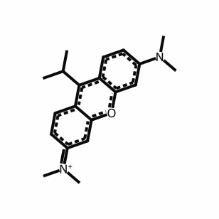 CC(C)c1c2ccc(=[N+](C)C)cc-2oc2cc(N(C)C)ccc12